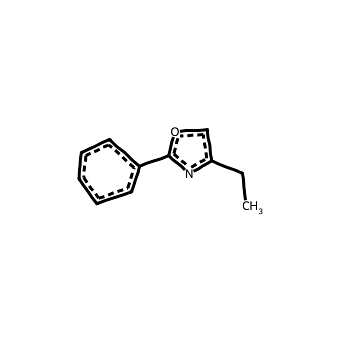 CCc1coc(-c2ccccc2)n1